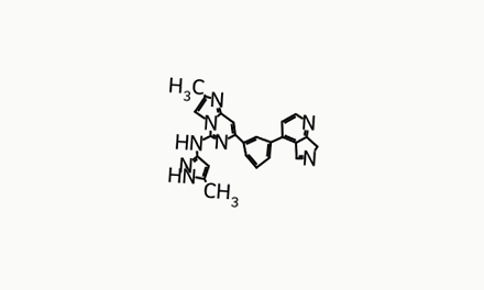 Cc1cn2c(Nc3cc(C)[nH]n3)nc(-c3cccc(-c4ccnc5c4C=NC5)c3)cc2n1